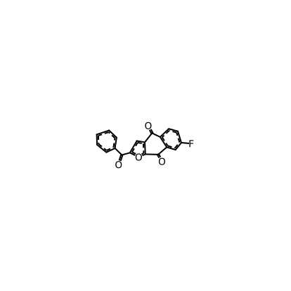 O=C(c1ccccc1)c1cc2c(o1)C(=O)c1cc(F)ccc1C2=O